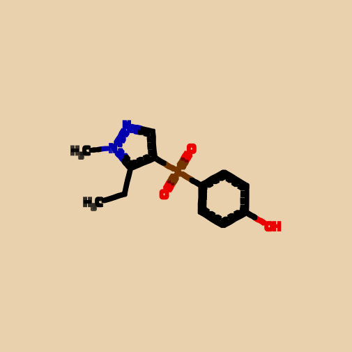 CCc1c(S(=O)(=O)c2ccc(O)cc2)cnn1C